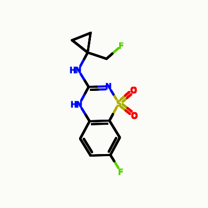 O=S1(=O)N=C(NC2(CF)CC2)Nc2ccc(F)cc21